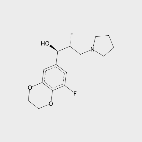 C[C@H](CN1CCCC1)[C@H](O)c1cc(F)c2c(c1)OCCO2